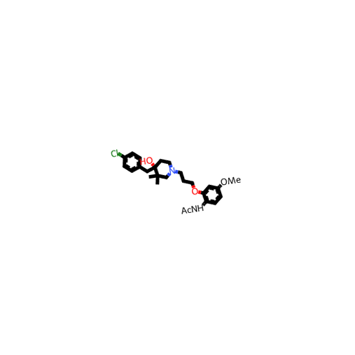 COc1ccc(NC(C)=O)c(OCCCN2CCC(O)(Cc3ccc(Cl)cc3)C(C)(C)C2)c1